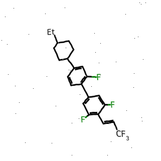 CCC1CCC(c2ccc(-c3cc(F)c(/C=C/C(F)(F)F)c(F)c3)c(F)c2)CC1